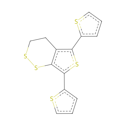 c1csc(-c2sc(-c3cccs3)c3c2CCSS3)c1